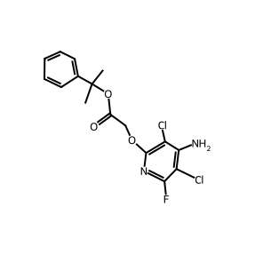 CC(C)(OC(=O)COc1nc(F)c(Cl)c(N)c1Cl)c1ccccc1